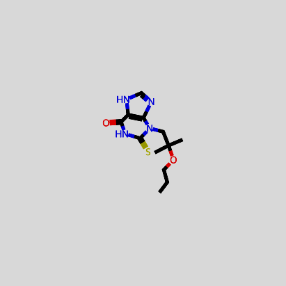 CCCOC(C)(C)Cn1c(=S)[nH]c(=O)c2[nH]cnc21